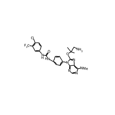 CNc1ncnc2c1nc(OC(C)(C)CN)n2-c1ccc(NC(=O)Nc2ccc(Cl)c(C(F)(F)F)c2)cc1